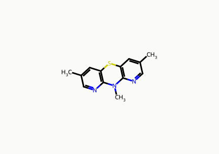 Cc1cnc2c(c1)Sc1cc(C)cnc1N2C